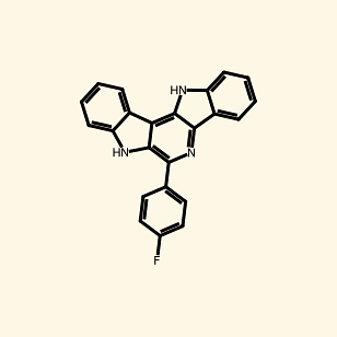 Fc1ccc(-c2nc3c4ccccc4[nH]c3c3c2[nH]c2ccccc23)cc1